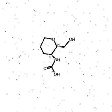 O=C(O)N[C@H]1CCCO[C@H]1CO